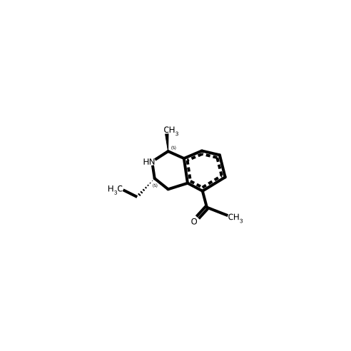 CC[C@H]1Cc2c(C(C)=O)cccc2[C@H](C)N1